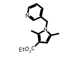 CCOC(=O)c1cc(C)n(Cc2cccnc2)c1C